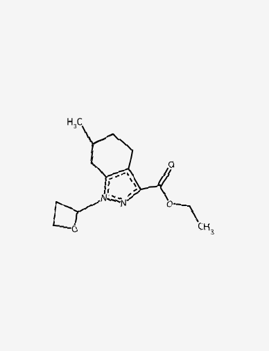 CCOC(=O)c1nn(C2CCO2)c2c1CCC(C)C2